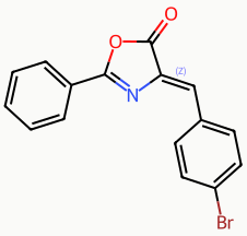 O=C1OC(c2ccccc2)=N/C1=C\c1ccc(Br)cc1